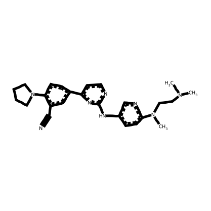 CN(C)CCN(C)c1ccc(Nc2nccc(-c3ccc(N4CCCC4)c(C#N)c3)n2)cn1